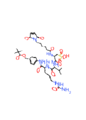 CC(C)C(NC(=O)C(CS(=O)(=O)O)NC(=O)CCCCCN1C(=O)C=CC1=O)C(=O)NC(CCCNC(N)=O)C(=O)Nc1ccc(COC(=O)C(C)(C)C)cc1